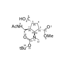 COC(=O)[C@H]1C[C@@H](C(=O)O)[C@H](CNC(C)=O)[C@@H]1N(C)C(=O)OC(C)(C)C